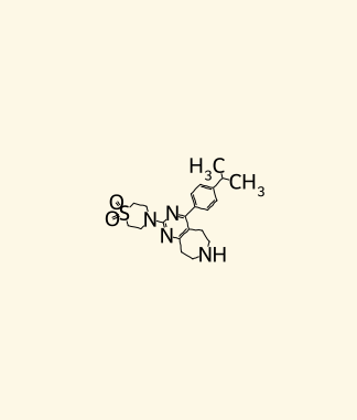 CC(C)c1ccc(-c2nc(N3CCS(=O)(=O)CC3)nc3c2CCNCC3)cc1